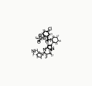 CC1C(N2CC[C@H](CN)C2)=Nc2cc([C@@H]3CCCCN3C(=O)c3cc(Cl)ccc3NS(C)(=O)=O)nn2C1C